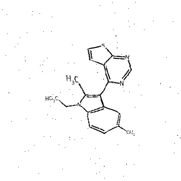 Cc1ccc2c(c1)c(-c1ncnc3sccc13)c(C)n2CC(=O)O